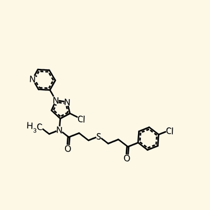 CCN(C(=O)CCSCCC(=O)c1ccc(Cl)cc1)c1cn(-c2cccnc2)nc1Cl